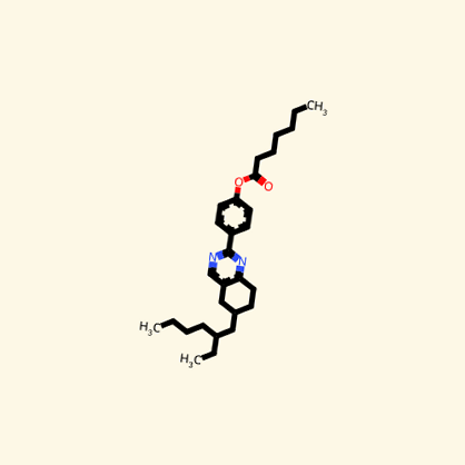 CCCCCCC(=O)Oc1ccc(-c2ncc3c(n2)CCC(CC(CC)CCCC)C3)cc1